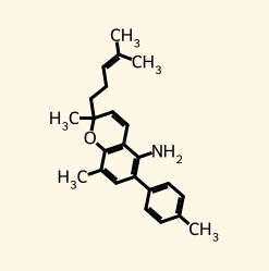 CC(C)=CCCC1(C)C=Cc2c(N)c(-c3ccc(C)cc3)cc(C)c2O1